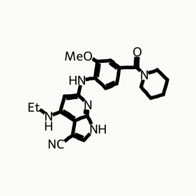 CCNc1cc(Nc2ccc(C(=O)N3CCCCC3)cc2OC)nc2[nH]cc(C#N)c12